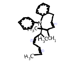 C/C=C\C=C/C(C)C1(C)C(C)/C=C/Cc2ccccc2N1c1ccccc1